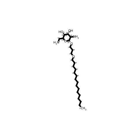 CCCCCCCCCCCCCCCCOCCCO[C@@H]1OC(CN)[C@@H](O)[C@H](O)C1N